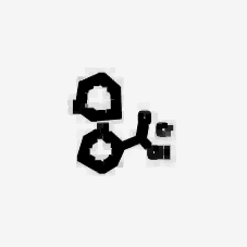 O=C(O)c1ccccn1.[Cr].c1ccncc1